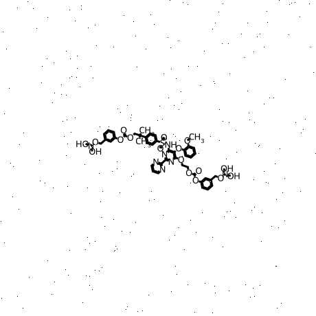 COc1ccccc1Oc1c(NS(=O)(=O)c2ccc(C(C)(C)COC(=O)Oc3cccc(CON(O)O)c3)cc2)nc(-c2ncccn2)nc1OCCOC(=O)Oc1cccc(CON(O)O)c1